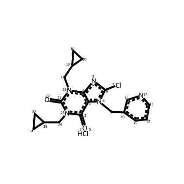 Cl.O=c1c2c(nc(Cl)n2Cc2cccnc2)n(CC2CC2)c(=O)n1CC1CC1